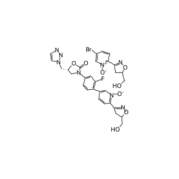 O=C1O[C@@H](Cn2ccnn2)CN1c1ccc(-c2ccc(C3=NOC(CO)C3)[n+]([O-])c2)c(F)c1.[O-][n+]1cc(Br)ccc1C1=NOC(CO)C1